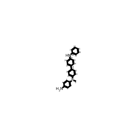 CN(c1ccc(N)cc1)c1ccc(-c2ccc(Nc3ccccc3)cc2)cc1